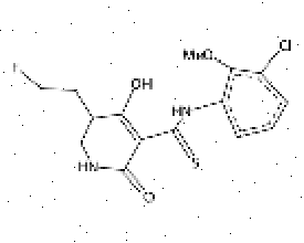 COc1c(Cl)cccc1NC(=S)C1=C(O)C(CCF)CNC1=O